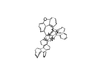 c1ccc(-c2nc(-c3ccccc3)nc(-c3cccc4oc5cccc(-c6nc(-c7ccc8oc9ccccc9c8c7)nc7c6sc6ccccc67)c5c34)n2)cc1